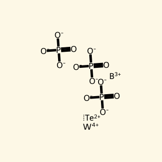 O=P([O-])([O-])[O-].O=P([O-])([O-])[O-].O=P([O-])([O-])[O-].[B+3].[Te+2].[W+4]